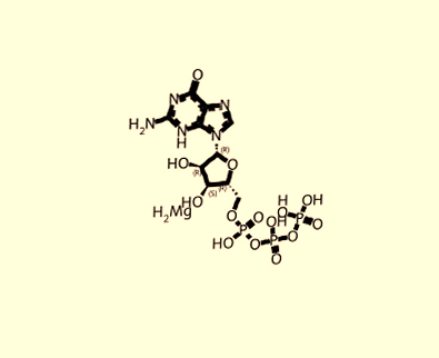 Nc1nc(=O)c2ncn([C@@H]3O[C@H](COP(=O)(O)OP(=O)(O)OP(=O)(O)O)[C@@H](O)[C@H]3O)c2[nH]1.[MgH2]